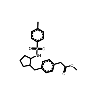 COC(=O)Cc1ccc(CC2CCCC2NS(=O)(=O)c2ccc(C)cc2)cc1